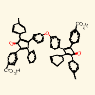 CC1=CCC(C2=C(c3ccc(Oc4ccc(C5=C(c6ccc(C(=O)O)cc6)C(=O)C(c6ccc(C)cc6)=C5C5=CC=CCC5)cc4)cc3)C(c3ccccc3)=C(c3ccc(C(=O)O)cc3)C2=O)C=C1